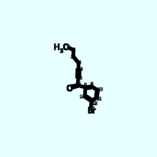 CCCCC#CC(=O)c1cccc(Br)c1